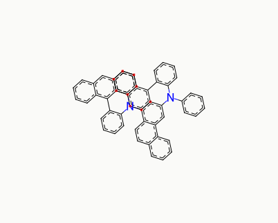 c1ccc(N(c2cc(N(c3ccccc3)c3ccccc3-c3cccc4ccccc34)c3ccc4ccccc4c3c2)c2ccccc2-c2cccc3ccccc23)cc1